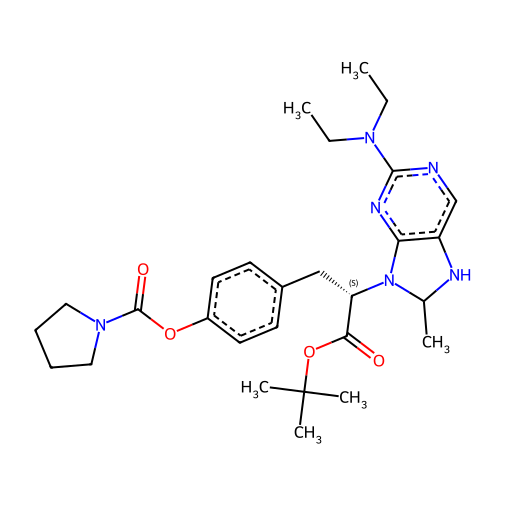 CCN(CC)c1ncc2c(n1)N([C@@H](Cc1ccc(OC(=O)N3CCCC3)cc1)C(=O)OC(C)(C)C)C(C)N2